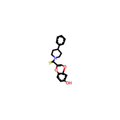 Oc1ccc2c(c1)OC=C(C(=S)N1CCC(c3ccccc3)CC1)O2